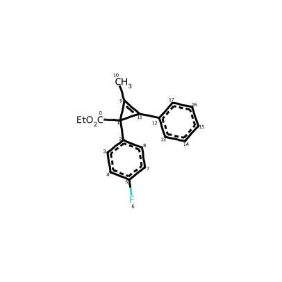 CCOC(=O)C1(c2ccc(F)cc2)C(C)=C1c1ccccc1